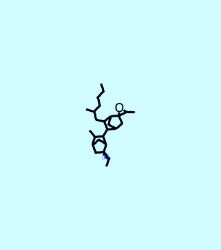 C/C=C1\CC2CC1C(C1C3CC(C1CC(C)CCCC)C1(C3)OC1C)C2C